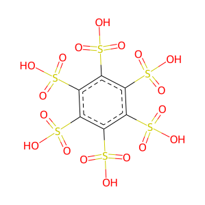 O=S(=O)(O)c1c(S(=O)(=O)O)c(S(=O)(=O)O)c(S(=O)(=O)O)c(S(=O)(=O)O)c1S(=O)(=O)O